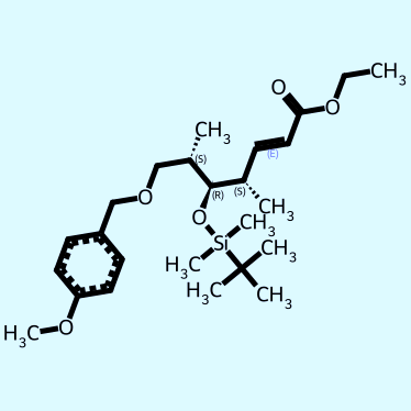 CCOC(=O)/C=C/[C@H](C)[C@@H](O[Si](C)(C)C(C)(C)C)[C@@H](C)COCc1ccc(OC)cc1